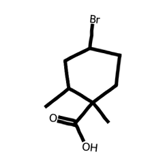 CC1CC(Br)CCC1(C)C(=O)O